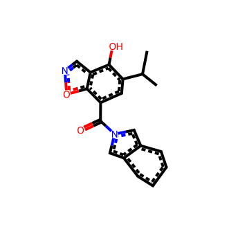 CC(C)c1cc(C(=O)n2cc3ccccc3c2)c2oncc2c1O